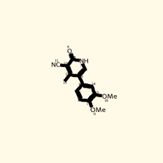 COc1ccc(-c2c[nH]c(=O)c(C#N)c2C)cc1OC